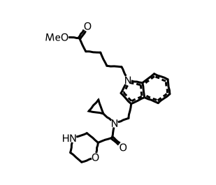 COC(=O)CCCCn1cc(CN(C(=O)C2CNCCO2)C2CC2)c2ccccc21